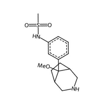 COC1(c2cccc(NS(C)(=O)=O)c2)C2CCC1CNC2